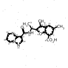 Cc1cc(C(=O)O)c2oc(C(C)NC(=O)c3cnn4cccnc34)c(C)c2c1